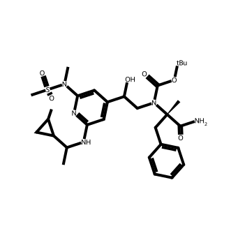 CC1CC1C(C)Nc1cc(C(O)CN(C(=O)OC(C)(C)C)[C@@](C)(Cc2ccccc2)C(N)=O)cc(N(C)S(C)(=O)=O)n1